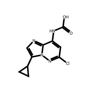 O=C(O)Nc1cc(Cl)nn2c(C3CC3)cnc12